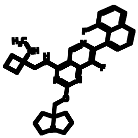 CNC1(CNc2nc(OCC34CCCN3CCC4)nc3c(F)c(-c4cccc5cccc(F)c45)ncc23)CCC1